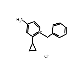 Nc1cc[n+](Cc2ccccc2)c(C2CC2)c1.[Cl-]